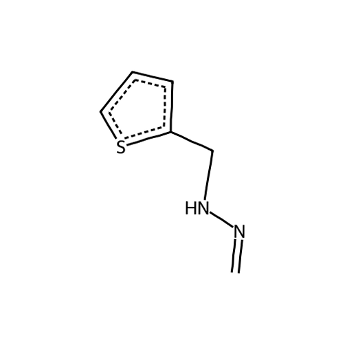 C=NNCc1cccs1